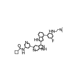 CN(C)CCNc1cc(F)cc(-c2cccc3[nH]c(-c4n[nH]c5cnc(-c6cncc(NC(=O)C7CCC7)c6)cc45)cc23)c1